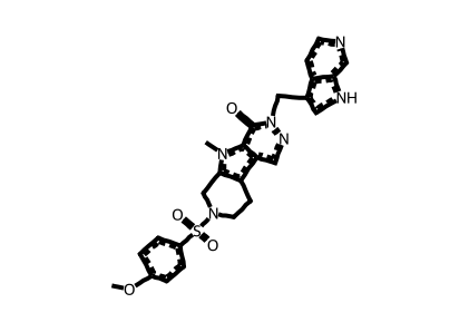 COc1ccc(S(=O)(=O)N2CCc3c(n(C)c4c(=O)n(Cc5c[nH]c6cnccc56)ncc34)C2)cc1